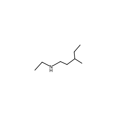 CCNCCC(C)CC